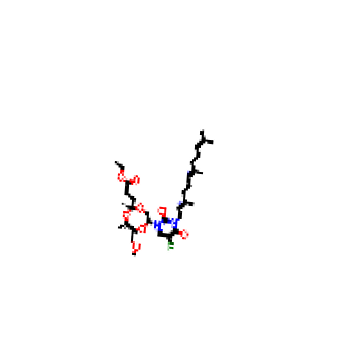 CCOC(=O)CC[C@@]1(C)OC[C@H](n2cc(F)c(=O)n(C/C=C(\C)CC/C=C(\C)CCC=C(C)C)c2=O)O[C@H](COC)[C@@H](C)O1